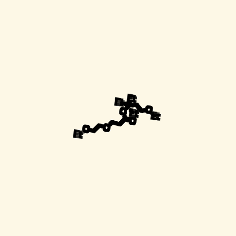 CCOCCOCCC(=O)OP(CC)(CC)(CC)CCOCC